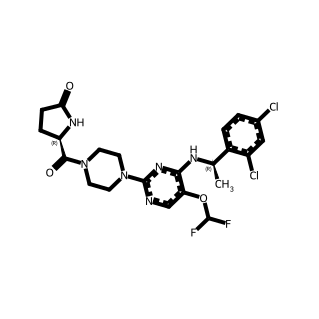 C[C@@H](Nc1nc(N2CCN(C(=O)[C@H]3CCC(=O)N3)CC2)ncc1OC(F)F)c1ccc(Cl)cc1Cl